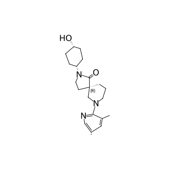 Cc1c[c]cnc1N1CCC[C@@]2(CCN([C@H]3CC[C@@H](O)CC3)C2=O)C1